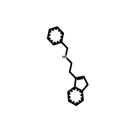 C1=C(CCNCc2ccccc2)c2ccccc2C1